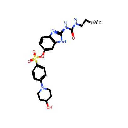 COCCNC(=O)Nc1nc2ccc(OS(=O)(=O)c3ccc(N4CCC(O)CC4)cc3)cc2[nH]1